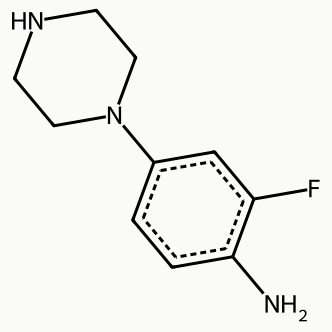 Nc1ccc(N2CCNCC2)cc1F